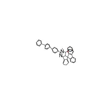 CN1C(c2ccc(-c3ccc(-c4ccccc4)cc3)cc2)=NC2C3=CCCC=C3C3(c4ccccc4-c4ccccc43)C2C1c1ccccc1